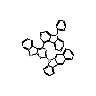 c1ccc(-n2c3ccccc3c3c(-c4nc(-n5c6ccccc6c6cc7ccccc7cc65)nc5sc6ccccc6c45)cccc32)cc1